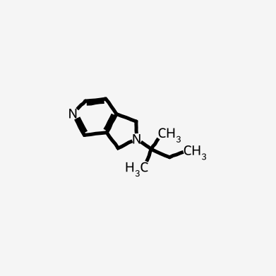 CCC(C)(C)N1Cc2ccncc2C1